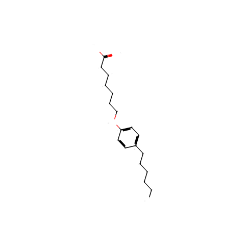 [CH2]CCCCCc1ccc(OCCCCCCC(=O)O)cc1